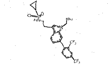 CC(C)(C)Cn1cc(CCNS(=O)(=O)C2CC2)c2ccc(-c3ccc(C(F)(F)F)cc3C(F)(F)F)cc21